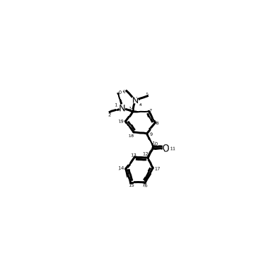 CN(C)C1(N(C)C)C=CC(C(=O)c2ccccc2)C=C1